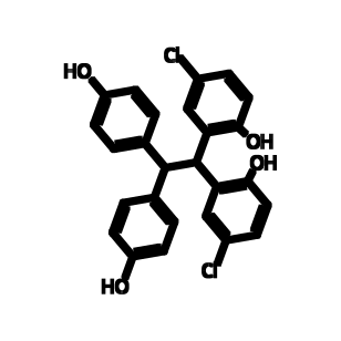 Oc1ccc(C(c2ccc(O)cc2)C(c2cc(Cl)ccc2O)c2cc(Cl)ccc2O)cc1